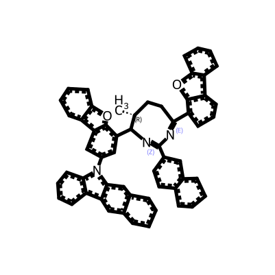 C[C@@H]1CC/C(c2cccc3c2oc2ccccc23)=N\C(c2ccc3ccccc3c2)=N/C1c1cc(-n2c3ccccc3c3cc4ccccc4cc32)cc2c1oc1ccccc12